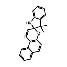 CC1(C)c2ccccc2NC12C=Nc1c(ccc3ccccc13)O2